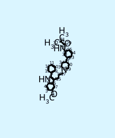 COc1ccc2[nH]c(-c3ccccc3)c(CCCN3CCC(c4cccc(NC(=O)C(C)C)c4)CC3)c2c1